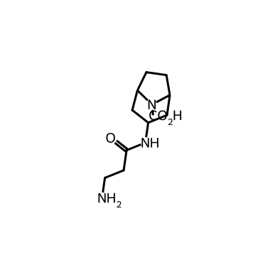 NCCC(=O)NC1CC2CCC(C1)N2C(=O)O